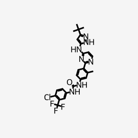 Cc1cc(NC(=O)Nc2ccc(Cl)c(C(F)(F)F)c2)ccc1-c1nccc(Nc2cc(C(C)(C)C)n[nH]2)n1